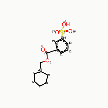 O=C(OCC1CCCCC1)c1cccc(S(=O)(=O)O)c1